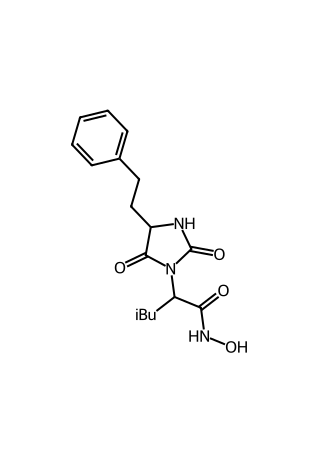 CCC(C)C(C(=O)NO)N1C(=O)NC(CCc2ccccc2)C1=O